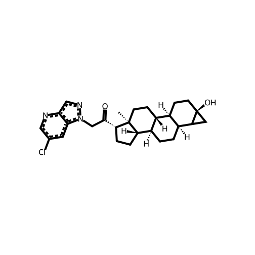 C[C@]12CC[C@@H]3[C@H]4CC[C@]5(O)CC5[C@H]4CC[C@H]3[C@@H]1CC[C@@H]2C(=O)Cn1ncc2ncc(Cl)cc21